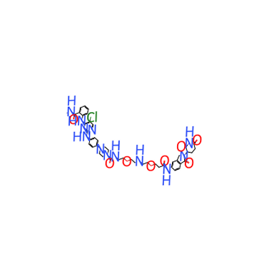 CNC(=O)c1ccccc1Nc1nc(Nc2ccc(N3CCN(C(=O)NCCOCCNCCOCCC(=O)Nc4ccc5c(c4)CN(C4CCC(=O)NC4=O)C5=O)CC3)cc2)ncc1Cl